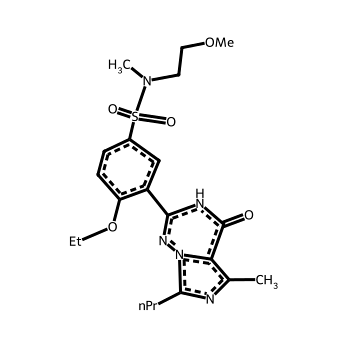 CCCc1nc(C)c2c(=O)[nH]c(-c3cc(S(=O)(=O)N(C)CCOC)ccc3OCC)nn12